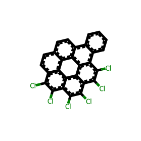 Clc1c(Cl)c2c(Cl)c(Cl)c3c(Cl)c(Cl)c4c5ccccc5c5ccc6ccc1c1c6c5c4c3c21